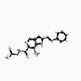 O=C(O)CNC(=O)c1ncc2cc(C=Cc3ccccc3)sc2c1O